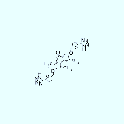 Cc1cc2c(cc1OCc1ccc(-c3nnn[nH]3)o1)c(=O)oc1c(C)c(OCc3ccc(-c4nnn[nH]4)o3)cc(C)c12